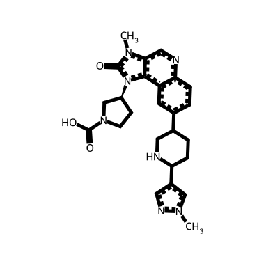 Cn1cc(C2CCC(c3ccc4ncc5c(c4c3)n([C@H]3CCN(C(=O)O)C3)c(=O)n5C)CN2)cn1